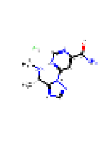 CN[C@@H](C)c1ncnn1-c1cc(C(N)=O)ncn1.Cl